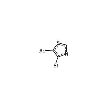 CCc1ncsc1C(C)=O